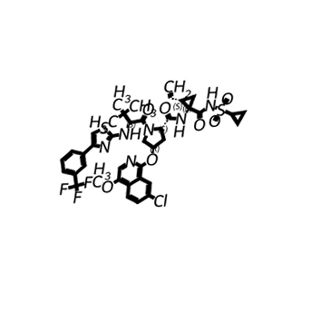 C=C[C@@H]1C[C@]1(NC(=O)[C@@H]1C[C@@H](Oc2ncc(OC)c3ccc(Cl)cc23)CN1C(=O)[C@@H](Nc1nc(-c2cccc(C(F)(F)F)c2)cs1)C(C)(C)C)C(=O)NS(=O)(=O)C1CC1